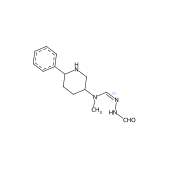 CN(/C=N\NC=O)C1CCC(c2ccccc2)NC1